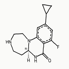 O=C1N[C@H]2CCNCCN2c2cc(C3CC3)cc(F)c21